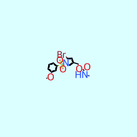 CNC(=O)OCc1cc(Br)n(S(=O)(=O)c2cccc(OC)c2)c1